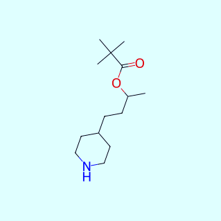 CC(CCC1CCNCC1)OC(=O)C(C)(C)C